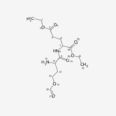 CCOC(=O)CCC(NC(=O)C(N)CCOC=O)C(=O)OCC